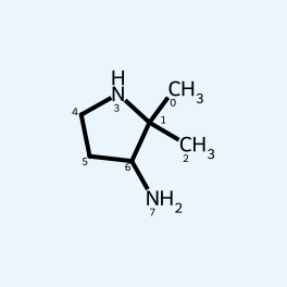 CC1(C)NCCC1N